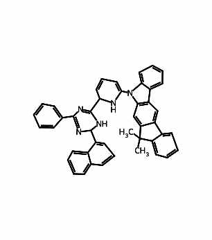 CC1(C)c2ccccc2-c2cc3c4ccccc4n(C4=CC=CC(C5=NC(c6ccccc6)=NC(c6cccc7ccccc67)N5)N4)c3cc21